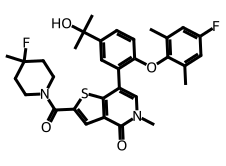 Cc1cc(F)cc(C)c1Oc1ccc(C(C)(C)O)cc1-c1cn(C)c(=O)c2cc(C(=O)N3CCC(C)(F)CC3)sc12